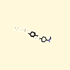 C/C=C(/C)C1CCC(NCc2ccc(COOC)cc2)CC1